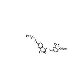 COc1ccc(CCC(=O)c2ccc(OCC(=O)O)cc2O)cc1O